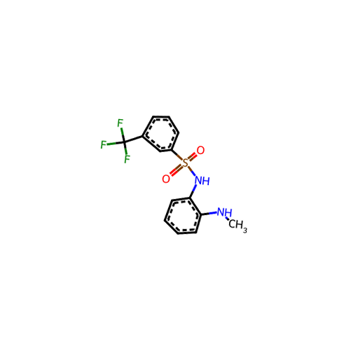 CNc1ccccc1NS(=O)(=O)c1cccc(C(F)(F)F)c1